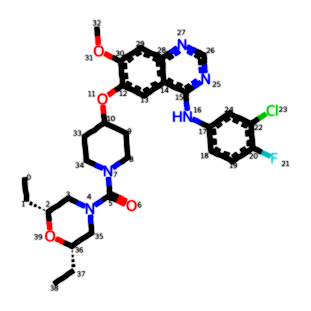 CC[C@@H]1CN(C(=O)N2CCC(Oc3cc4c(Nc5ccc(F)c(Cl)c5)ncnc4cc3OC)CC2)C[C@H](CC)O1